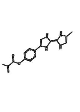 C=C(C)C(=O)Oc1ccc(C2=CN/C(=C3/NC=C(C)N3)N2)cc1